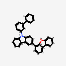 c1ccc(-c2cccc(-n3c4ccccc4c4cc(-c5cccc6c5oc5ccccc56)ccc43)c2)cc1